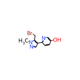 Cn1ncc(-c2ccc(O)cn2)c1CBr